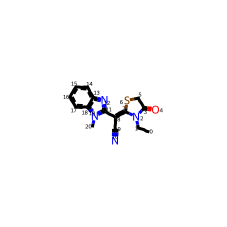 CCN1C(=O)CSC1=C(C#N)c1nc2ccccc2n1C